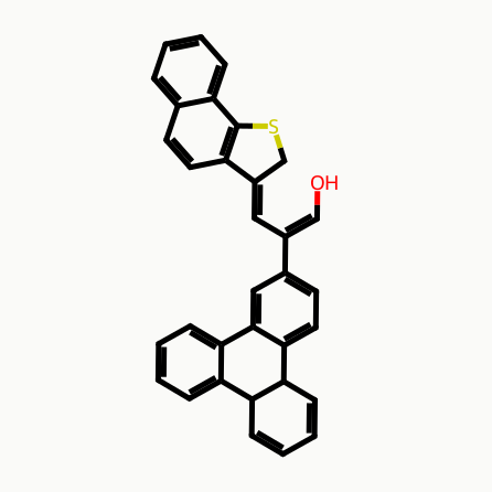 O/C=C(\C=C1/CSc2c1ccc1ccccc21)c1ccc2c(c1)-c1ccccc1C1C=CC=CC21